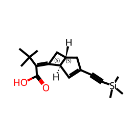 CC(C)(C)C(C(=O)O)=C1C[C@@H]2CC(C#C[Si](C)(C)C)=C[C@@H]12